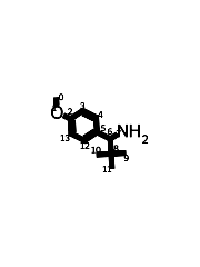 COc1ccc(C(N)C(C)(C)C)cc1